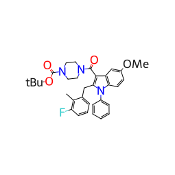 COc1ccc2c(c1)c(C(=O)N1CCN(C(=O)OC(C)(C)C)CC1)c(Cc1cccc(F)c1C)n2-c1ccccc1